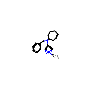 Cn1cc(N(Cc2ccccc2)C2CCCCCC2)cn1